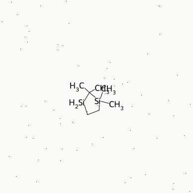 CC1(C)[SiH2]CC[Si]1(C)C